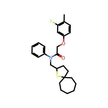 Cc1ccc(OCC(=O)N(CC2CCC3(CCCCCC3)S2)c2ccccc2)cc1F